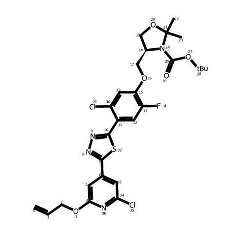 C=CCOc1cc(-c2nnc(-c3cc(F)c(OC[C@H]4COC(C)(C)N4C(=O)OC(C)(C)C)cc3Cl)s2)cc(Cl)n1